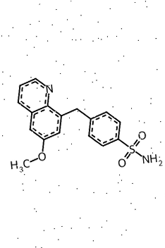 COc1cc(Cc2ccc(S(N)(=O)=O)cc2)c2ncccc2c1